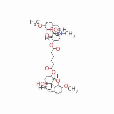 COc1ccc2c3c1O[C@H]1C(OC(=O)CCCCC(=O)OC4=CC[C@@]5(O)[C@H]6Cc7ccc(OC)c8c7[C@@]5(CCN6C)[C@H]4O8)=CC[C@@]4(O)[C@H](CCCC314)C2